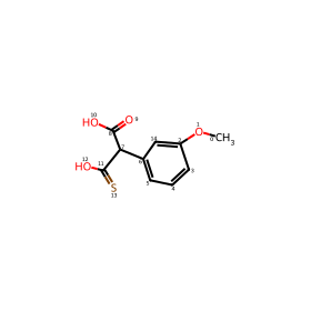 COc1cccc(C(C(=O)O)C(O)=S)c1